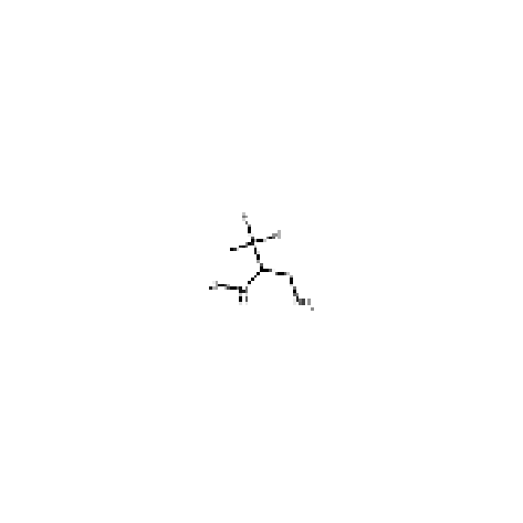 NCC(NCl)C(F)(F)F